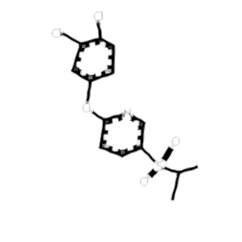 CC(C)S(=O)(=O)c1ccc(Oc2ccc(Cl)c(Cl)c2)nc1